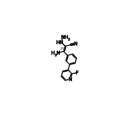 N#C/C(NN)=C(/N)c1cccc(-c2cccnc2F)c1